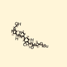 Cc1cc(-c2ccnc(Nc3cnn(CCO)c3)n2)ccc1CNC(=O)N1CC(OC(C)(C)C)C1